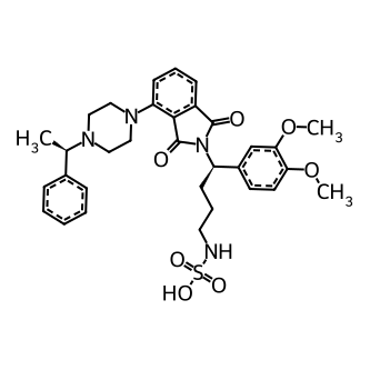 COc1ccc([C@@H](CCCNS(=O)(=O)O)N2C(=O)c3cccc(N4CCN([C@H](C)c5ccccc5)CC4)c3C2=O)cc1OC